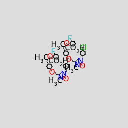 CN1C(=O)N(Cc2ccc(Cl)cc2)CC1CCOc1ccc(CC(C)(Oc2ccccc2F)C(=O)O)cc1.CN1C(=O)N(Cc2ccccc2)CC1CCOc1ccc(CC(C)(Oc2ccccc2F)C(=O)O)cc1